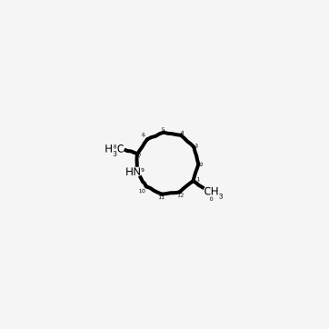 CC1CCCCCC(C)NCCC1